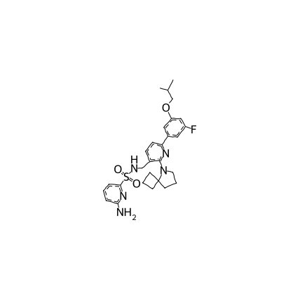 CC(C)COc1cc(F)cc(-c2ccc(CNS(=O)(=O)c3cccc(N)n3)c(N3CCCC34CCC4)n2)c1